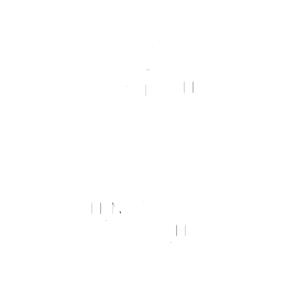 NC1(C(=O)O)CCc2cc(O[PH](=O)O)ccc21